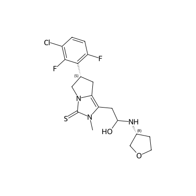 Cn1c(CC(O)N[C@@H]2CCOC2)c2n(c1=S)C[C@H](c1c(F)ccc(Cl)c1F)C2